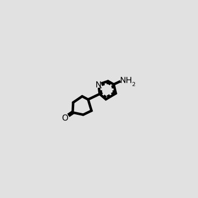 Nc1ccc(C2CCC(=O)CC2)nc1